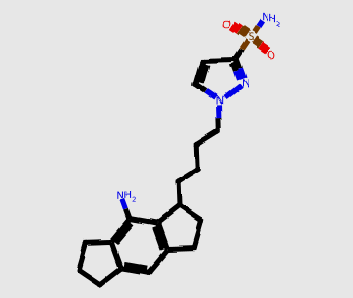 Nc1c2c(cc3c1C(CCCCn1ccc(S(N)(=O)=O)n1)CC3)CCC2